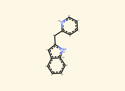 c1ccc(Cc2cc3ccccc3[nH]2)nc1